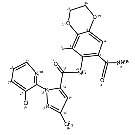 CNC(=O)c1cc2c(c(C)c1NC(=O)c1cc(C(F)(F)F)nn1-c1ncccc1Cl)OCCO2